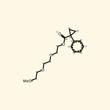 COCCOCCOCCOC(=O)C1(c2ccccc2)CC1